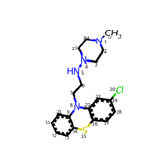 CN1CCN(NCCN2c3ccccc3Sc3ccc(Cl)cc32)CC1